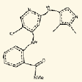 CNC(=O)c1ccccc1Nc1cc(Nc2cnn(C)c2C)ncc1Cl